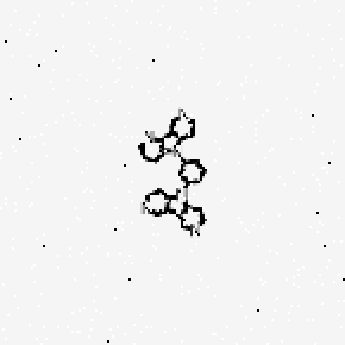 c1cc(-n2c3ccncc3c3cnccc32)cc(-n2c3ccncc3c3ncccc32)c1